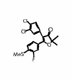 CSc1ccc(C2=C(c3ccc(Cl)c(Cl)c3)C(=O)C(C)(C)O2)cc1F